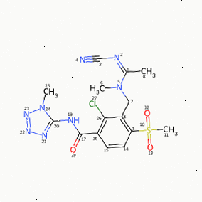 C/C(=N/C#N)N(C)Cc1c(S(C)(=O)=O)ccc(C(=O)Nc2nnnn2C)c1Cl